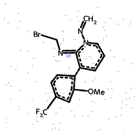 C=Nn1cccc(-c2ccc(C(F)(F)F)cc2OC)/c1=N/CBr